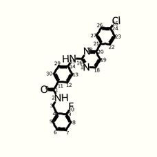 O=C(NCc1ccccc1F)c1ccc(Nc2nccc(-c3ccc(Cl)cc3)n2)cc1